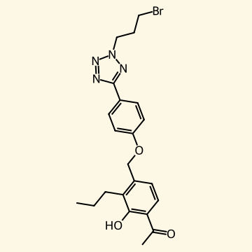 CCCc1c(COc2ccc(-c3nnn(CCCBr)n3)cc2)ccc(C(C)=O)c1O